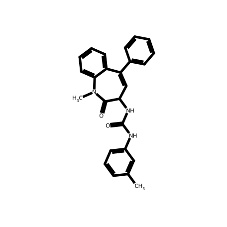 Cc1cccc(NC(=O)NC2C=C(c3ccccc3)c3ccccc3N(C)C2=O)c1